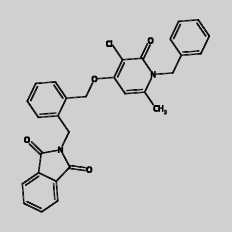 Cc1cc(OCc2ccccc2CN2C(=O)c3ccccc3C2=O)c(Cl)c(=O)n1Cc1ccccc1